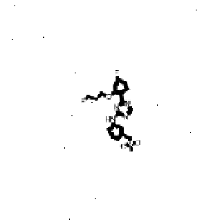 CS(=O)(=O)Cc1cccc(Nc2ncnc(-c3ccc(F)cc3OCCCF)n2)c1